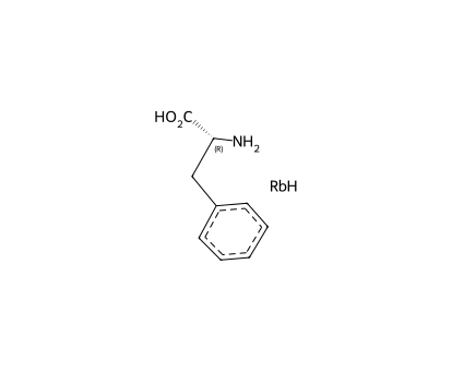 N[C@H](Cc1ccccc1)C(=O)O.[RbH]